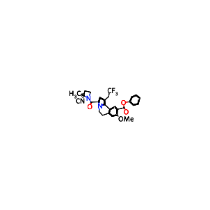 COc1cc2c(cc1C(=O)Oc1ccccc1)-c1c(CC(F)(F)F)cc(C(=O)N3CC[C@]3(C)C#N)n1CC2